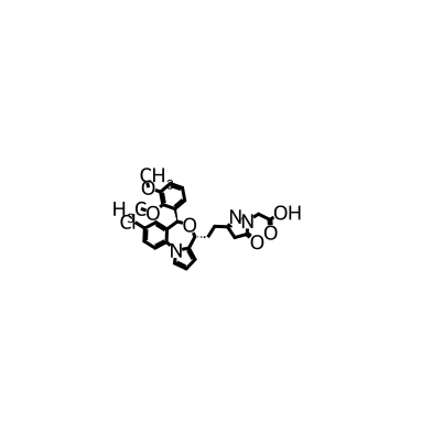 COc1cccc([C@H]2O[C@H](CCC3=NN(CC(=O)O)C(=O)C3)c3cccn3-c3ccc(Cl)cc32)c1OC